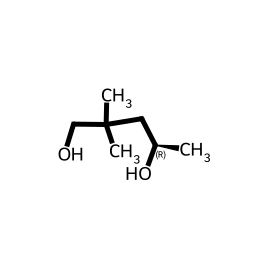 C[C@@H](O)CC(C)(C)CO